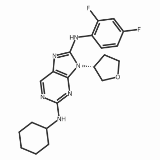 Fc1ccc(Nc2nc3cnc(NC4CCCCC4)nc3n2[C@@H]2CCOC2)c(F)c1